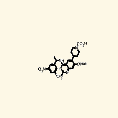 COc1cc2nc(C)nc(NC(C)c3cc([N+](=O)[O-])cc(C(F)(F)F)c3)c2cc1C1CCN(C(=O)O)CC1